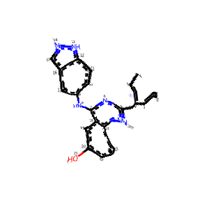 C=C/C(=C\C)c1nc(Nc2ccc3[nH]ncc3c2)c2cc(O)ccc2n1